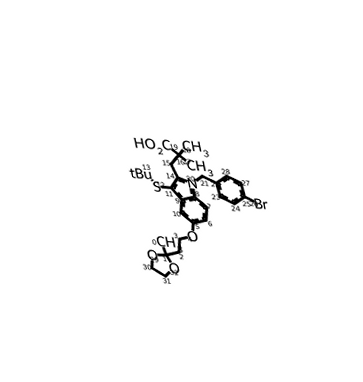 CC1(CCOc2ccc3c(c2)c(SC(C)(C)C)c(CC(C)(C)C(=O)O)n3Cc2ccc(Br)cc2)OCCO1